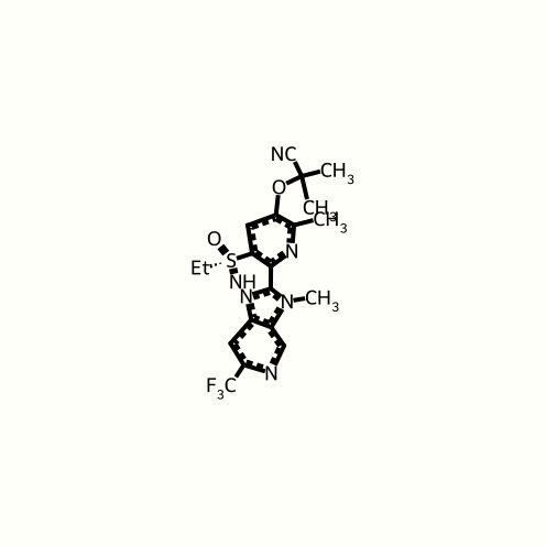 CC[S@](=N)(=O)c1cc(OC(C)(C)C#N)c(C)nc1-c1nc2cc(C(F)(F)F)ncc2n1C